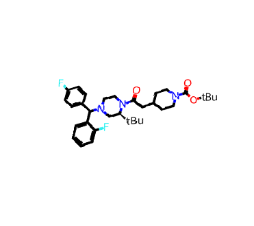 CC(C)(C)OC(=O)N1CCC(CC(=O)N2CCN(C(c3ccc(F)cc3)c3ccccc3F)C[C@@H]2C(C)(C)C)CC1